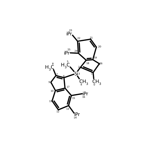 CC1=C([Si](C)(C)C2=C(C)[CH]c3ccc(C(C)C)c(C(C)C)c32)c2c(ccc(C(C)C)c2C(C)C)[CH]1